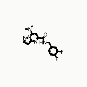 CN(C)c1cc(C(=O)NCc2ccc(F)c(F)c2)nc2ccnn12